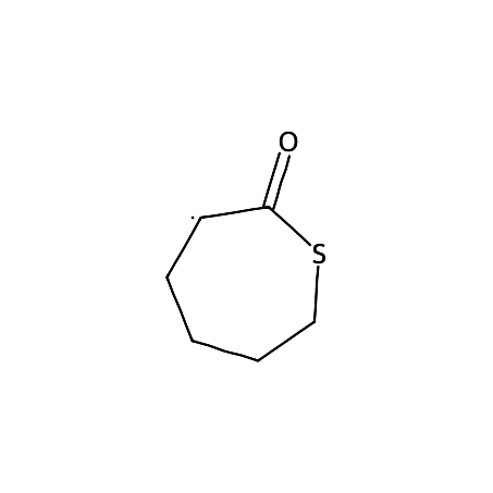 O=C1[CH]CCCCS1